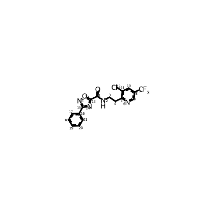 O=C(NCCc1ncc(C(F)(F)F)cc1Cl)c1nc(-c2ccccc2)no1